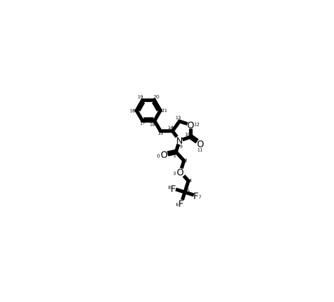 O=C(COCC(F)(F)F)N1C(=O)OCC1Cc1ccccc1